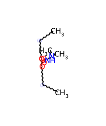 CCCCCCCC/C=C\CCCCCCCCOCC(COCCCCCCCC/C=C\CCCCCCCC)OC(=O)NCCN(CCC)CCC